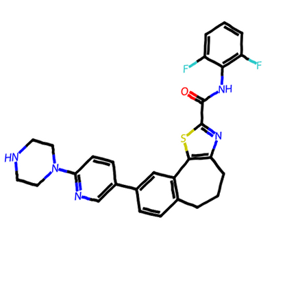 O=C(Nc1c(F)cccc1F)c1nc2c(s1)-c1cc(-c3ccc(N4CCNCC4)nc3)ccc1CCC2